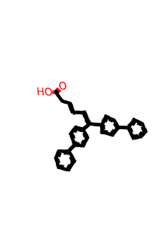 O=C(O)C/C=C/C=C(c1ccc(-c2ccccc2)cc1)c1ccc(-c2ccccc2)cc1